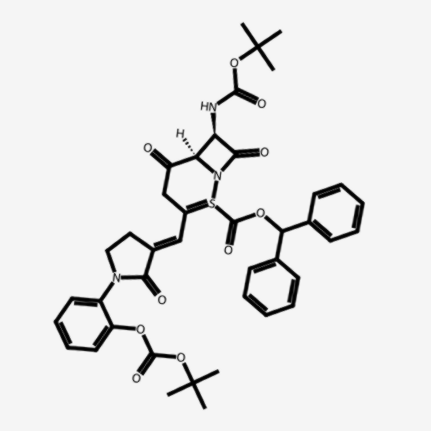 CC(C)(C)OC(=O)N[C@H]1C(=O)N2[C@H]1C(=O)CC(/C=C1\CCN(c3ccccc3OC(=O)OC(C)(C)C)C1=O)=S2C(=O)OC(c1ccccc1)c1ccccc1